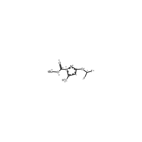 Cc1cc(OC(F)F)nn1C(=O)OC(C)(C)C